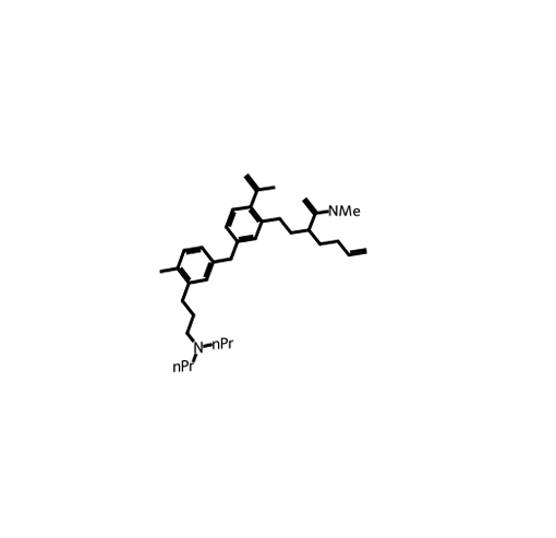 C=CCCC(CCc1cc(Cc2ccc(C)c(CCCN(CCC)CCC)c2)ccc1C(=C)C)C(=C)NC